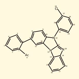 CC(=O)c1ccccc1-c1ccc2c(c1)n1c3ccccc3nc1n2-c1cccc(Cl)c1